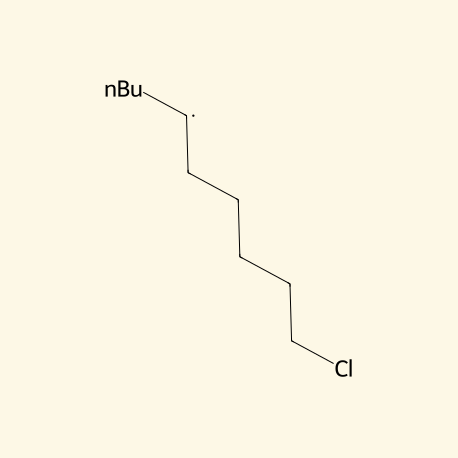 CCCC[CH]CCCCCCl